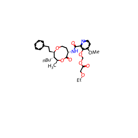 CCCC[C@H]1[C@H](C)OC(=O)[C@@H](NC(=O)c2nccc(OC)c2OCOC(=O)COCC)CCO[C@@H]1CCc1ccccc1